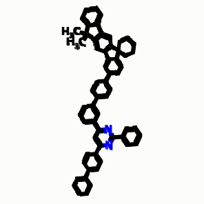 CC1(C)c2ccccc2-c2cc3c(cc21)-c1cc(-c2ccc(-c4cccc(-c5cc(-c6ccc(-c7ccccc7)cc6)nc(-c6ccccc6)n5)c4)cc2)ccc1C31CCCCC1